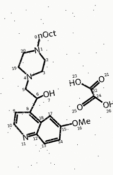 CCCCCCCCN1CCN(CC(O)c2ccnc3ccc(OC)cc23)CC1.O=C(O)C(=O)O